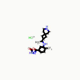 CC(Nc1cc(-c2n[nH]c(=O)o2)ccc1C(F)(F)F)C1CC2(CCNCC2)C1.Cl